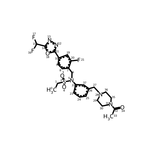 CCS(=O)(=O)N(Cc1ccc(-c2nnc(C(F)F)o2)cc1F)c1cccc(CN2CCN(C(C)=O)CC2)c1